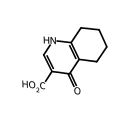 O=C(O)c1c[nH]c2c(c1=O)CCCC2